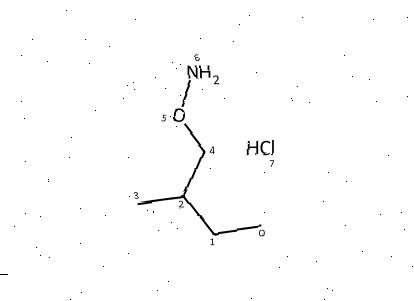 CCC(C)CON.Cl